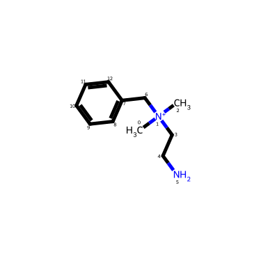 C[N+](C)(CCN)Cc1ccccc1